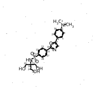 CN(C)c1ccc(-c2cnc(-c3ccc(S(=O)(=O)NC(CO)(CO)CO)cc3)o2)cc1